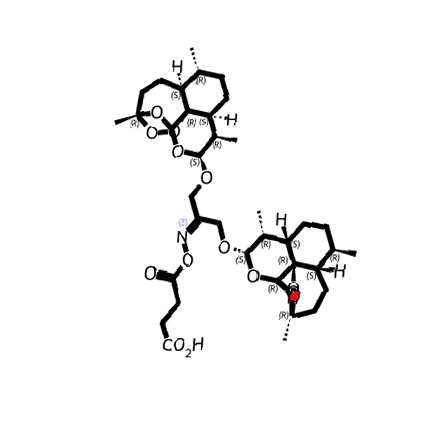 C[C@H]1[C@@H](OC/C(CO[C@H]2O[C@@H]3O[C@@]4(C)CC[C@H]5[C@H](C)CC[C@@H]([C@H]2C)[C@@]35OO4)=N/OC(=O)CCC(=O)O)OC2O[C@@]3(C)CC[C@H]4[C@H](C)CC[C@@H]1[C@@]24OO3